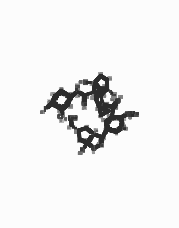 COc1ncc(C2=NO[C@@H]3C[C@H](CO)CN23)cc1C(=O)N[C@H]1[C@@H](C(=O)Nc2ccc(F)c(C(F)(F)F)c2)[C@H]2CC[C@@H]1/C2=C\C1CC1